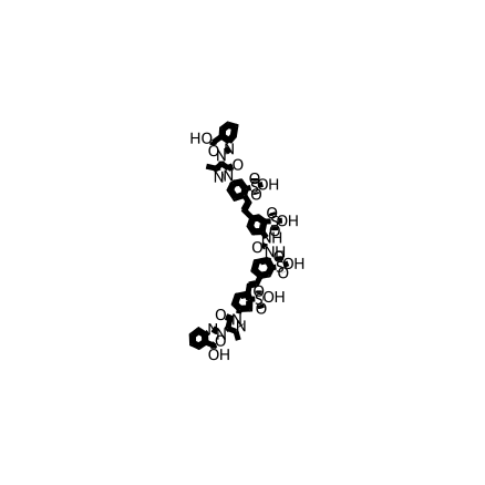 CC1=NN(c2ccc(C=Cc3ccc(NC(=O)Nc4ccc(C=Cc5ccc(N6N=C(C)C(N=Nc7ccccc7C(=O)O)C6=O)cc5S(=O)(=O)O)cc4S(=O)(=O)O)c(S(=O)(=O)O)c3)c(S(=O)(=O)O)c2)C(=O)C1N=Nc1ccccc1C(=O)O